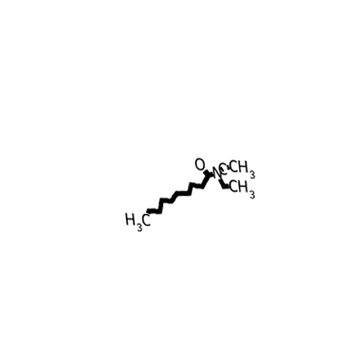 CCCCCCCCCC(=O)N(CC)CC